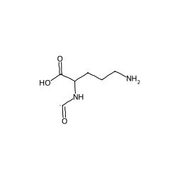 NCCCC(N[C]=O)C(=O)O